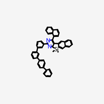 C[Si]1(C)c2cc3ccccc3cc2-c2c(-c3cccc4ccccc34)nc(-c3cccc(-c4cccc(-c5ccc(-c6ccccc6)cc5)c4)c3)nc21